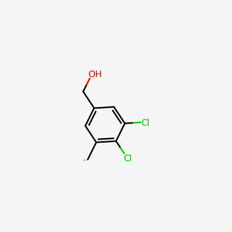 [CH2]c1cc(CO)cc(Cl)c1Cl